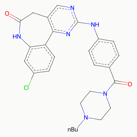 CCCCN1CCN(C(=O)c2ccc(Nc3ncc4c(n3)-c3ccc(Cl)cc3NC(=O)C4)cc2)CC1